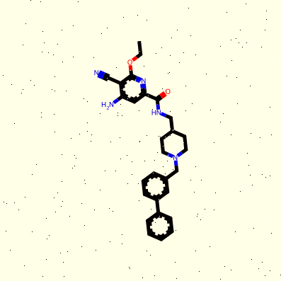 CCOc1nc(C(=O)NCC2CCN(Cc3cccc(-c4ccccc4)c3)CC2)cc(N)c1C#N